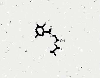 C=C(C)C(=O)OC(O)COC(=O)c1cc(I)cc(I)c1I